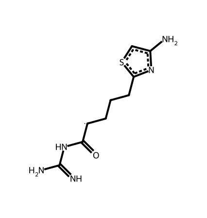 N=C(N)NC(=O)[CH]CCCc1nc(N)cs1